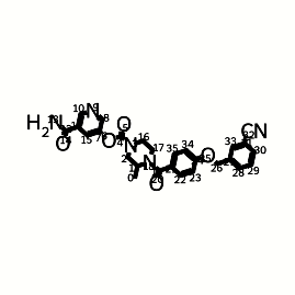 CC1CN(C(=O)Oc2cncc(C(N)=O)c2)CCN1C(=O)c1ccc(OCc2cccc(C#N)c2)cc1